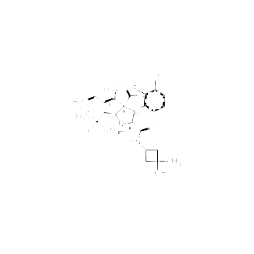 C=C/C=C(\C)[C@@]1(C(C)=O)[C@H](CC(C)(C)C)N[C@@H](C(=O)NC2CC(C)(O)C2)[C@@H]1c1cccc(Cl)c1F